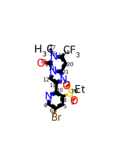 CCS(=O)(=O)c1cc(Br)cnc1-c1cn2c(=O)n(C)c(C(F)(F)F)cc2n1